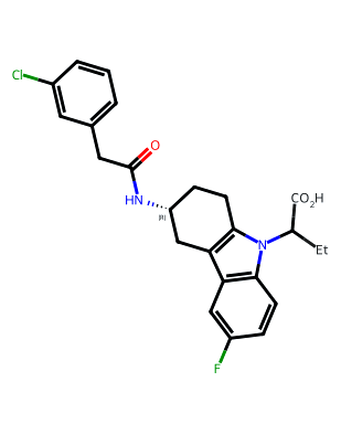 CCC(C(=O)O)n1c2c(c3cc(F)ccc31)C[C@H](NC(=O)Cc1cccc(Cl)c1)CC2